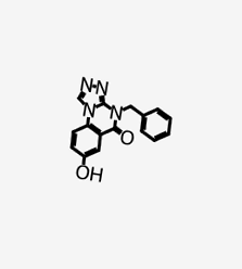 O=c1c2cc(O)ccc2n2cnnc2n1Cc1ccccc1